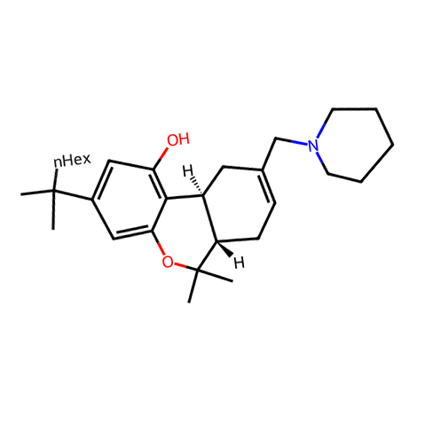 CCCCCCC(C)(C)c1cc(O)c2c(c1)OC(C)(C)[C@H]1CC=C(CN3CCCCC3)C[C@H]21